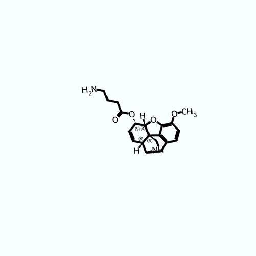 COc1ccc2c3c1O[C@H]1[C@@H](OC(=O)CCCN)C=C[C@H]4C(C2)NCC[C@@]341